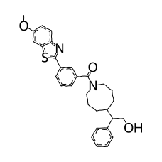 COc1ccc2nc(-c3cccc(C(=O)N4CCCC(C(CO)c5ccccc5)CCC4)c3)sc2c1